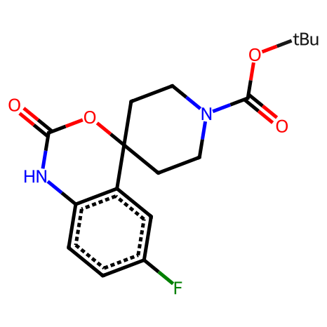 CC(C)(C)OC(=O)N1CCC2(CC1)OC(=O)Nc1ccc(F)cc12